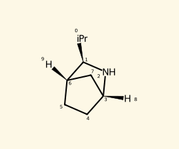 CC(C)[C@H]1N[C@@H]2CC[C@H]1C2